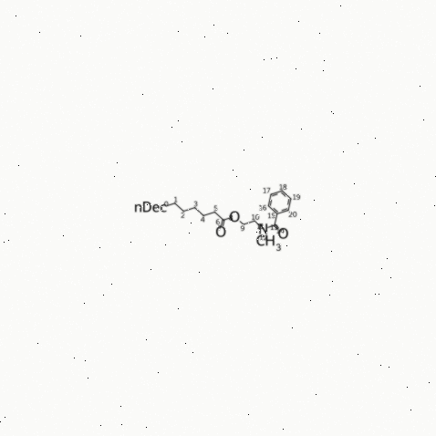 CCCCCCCCCCCCCCCC(=O)OCCN(C)C(=O)c1ccccc1